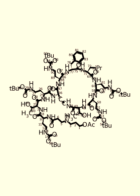 CC(=O)OCCCNCCC(=O)N[C@@H](CCNC(=O)OC(C)(C)C)C(=O)N[C@H](C(=O)N[C@@H](CCNC(=O)OC(C)(C)C)C(=O)N[C@H]1CCNC(=O)[C@H]([C@@H](C)O)NC(=O)[C@H](CCNC(=O)OC(C)(C)C)NC(=O)[C@H](CCNC(=O)OC(C)(C)C)NC(=O)[C@H](CC(C)C)NC(=O)[C@@H](Cc2ccccc2)NC(=O)[C@H](CCNC(=O)OC(C)(C)C)NC1=O)[C@@H](C)O